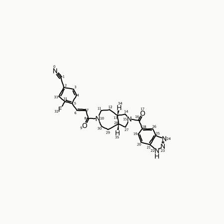 N#Cc1ccc(C=CC(=O)N2CC[C@@H]3CN(C(=O)c4ccc5[nH]nnc5c4)C[C@@H]3CC2)c(F)c1